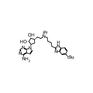 CC(C)N(CCCCc1nc2cc(C(C)(C)C)ccc2[nH]1)CC[C@H]1C[C@@H](n2ccc3c(N)ncnc32)[C@H](O)[C@@H]1O